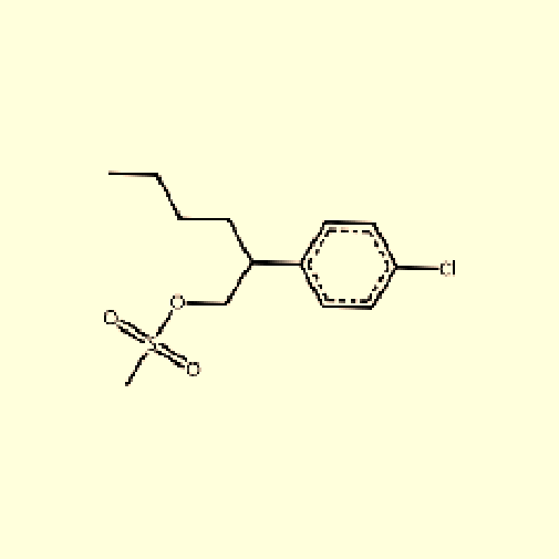 CCCCC(COS(C)(=O)=O)c1ccc(Cl)cc1